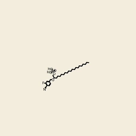 CCCCCCCCCCCCCCCCCCCC(COP(=O)(O)O)OCc1ccc(C#N)c(F)c1